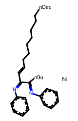 CCCCCCCCCCCCCCCCCC=CC(=Nc1ccccc1)C(CCCC)=Nc1ccccc1.[Ni]